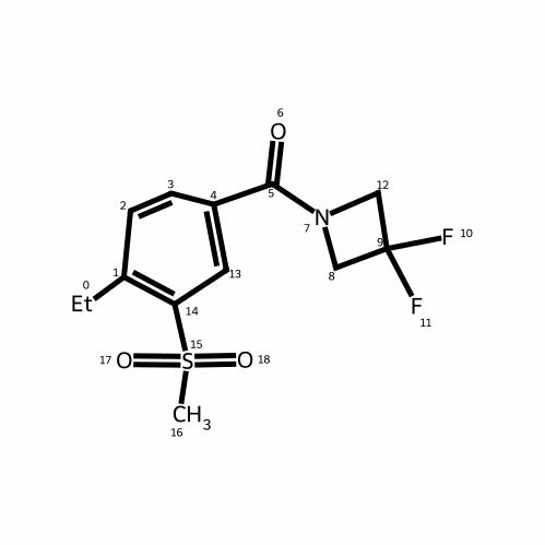 CCc1ccc(C(=O)N2CC(F)(F)C2)cc1S(C)(=O)=O